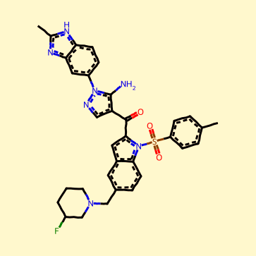 Cc1ccc(S(=O)(=O)n2c(C(=O)c3cnn(-c4ccc5[nH]c(C)nc5c4)c3N)cc3cc(CN4CCCC(F)C4)ccc32)cc1